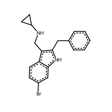 Brc1ccc2c(CNC3CC3)c(Cc3ccccc3)[nH]c2c1